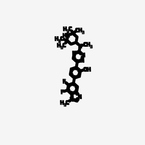 CN(c1ncc(-c2ccc(-c3cc4ncn(C)c4c(F)c3F)cc2O)nn1)C1CC(C)(C)NC(C)(C)C1